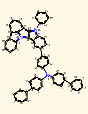 c1ccc(-c2ccc(N(c3ccc(-c4ccccc4)cc3)c3ccc(-c4ccc5c(c4)c4c(c6cccc7c8ccccc8n4c76)n5-c4ccccc4)cc3)cc2)cc1